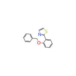 c1ccc(COc2ccccc2-c2nccs2)cc1